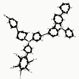 Fc1ccc(-c2ccc(N(c3ccc(-c4ccc5c(c4)c4ccc(-c6ccccc6)cc4n5-c4ccccc4)cc3)c3ccc(-c4c(F)c(F)c(F)c(F)c4F)cc3)cc2)cc1